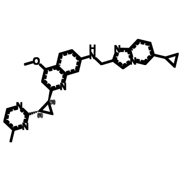 COc1cc([C@H]2C[C@@H]2c2nccc(C)n2)nc2cc(NCc3cn4cc(C5CC5)ccc4n3)ccc12